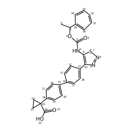 CC(OC(=O)Nc1snnc1-c1ccc(-c2ccc(C3(C(=O)O)CC3)cc2)cc1)c1ccccc1